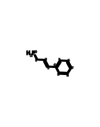 PCC=Cc1ccccc1